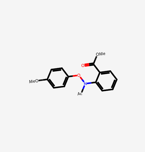 COC(=O)c1ccccc1N(Oc1ccc(OC)cc1)C(C)=O